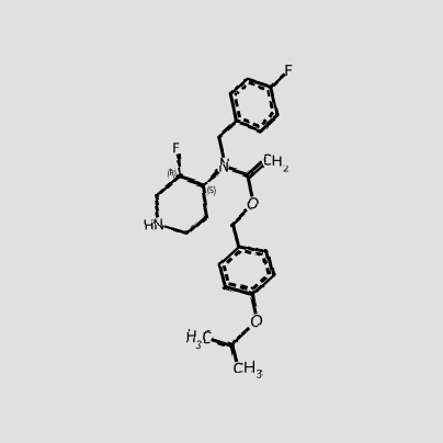 C=C(OCc1ccc(OC(C)C)cc1)N(Cc1ccc(F)cc1)[C@H]1CCNC[C@H]1F